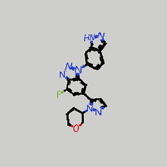 Fc1cc(-c2ccnn2C2CCCOC2)cc2c1nnn2-c1ccc2cn[nH]c2c1